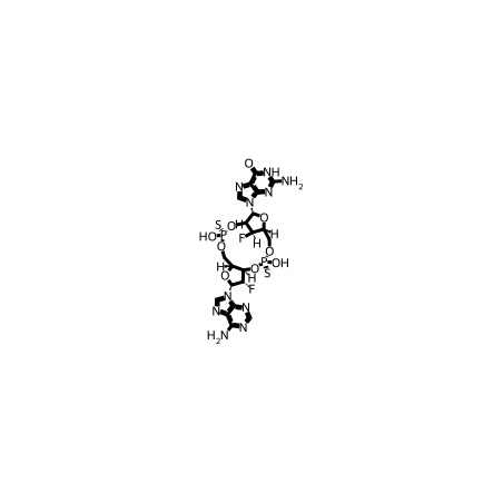 Nc1nc2c(ncn2[C@@H]2O[C@@H]3COP(O)(=S)O[C@H]4[C@H](F)[C@H](n5cnc6c(N)ncnc65)O[C@@H]4COP(O)(=S)O[C@@H]2[C@@H]3F)c(=O)[nH]1